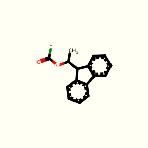 CC(OC(=O)Cl)C1c2ccccc2-c2ccccc21